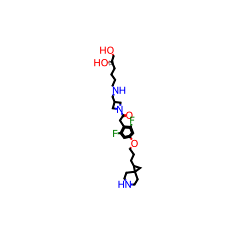 O=C(Cc1c(F)cc(OCCCC2CC23CCNCC3)cc1F)N1CC(CNCCCC[C@H](O)CO)C1